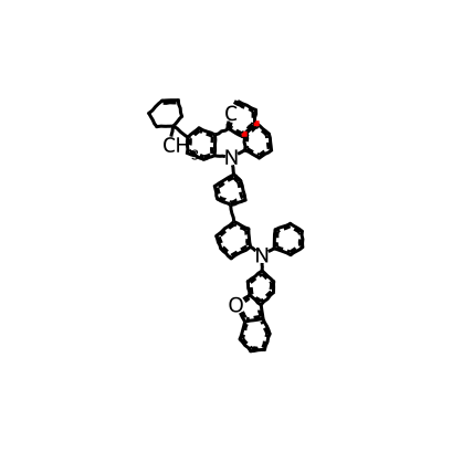 CC1(c2ccc(N(c3ccccc3)c3ccc(-c4cccc(N(c5ccccc5)c5ccc6c(c5)oc5ccccc56)c4)cc3)c(-c3ccccc3)c2)CC=CCC1